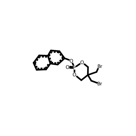 O=P1(Oc2ccc3ccccc3c2)OCC(CBr)(CBr)CO1